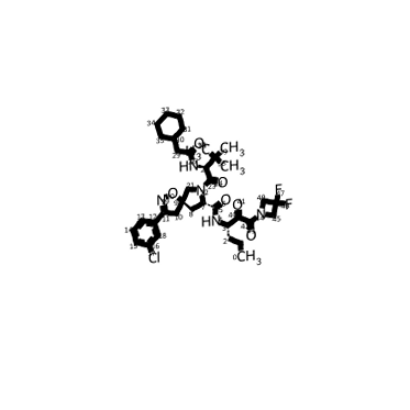 CCC[C@H](NC(=O)[C@@H]1C[C@]2(CC(c3cccc(Cl)c3)=NO2)CN1C(=O)[C@@H](NC(=O)CC1CCCCC1)C(C)(C)C)C(=O)C(=O)N1CC(F)(F)C1